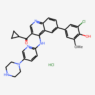 COc1cc(-c2ccc3ncc(C(=O)C4CC4)c(Nc4ccc(N5CCNCC5)cn4)c3c2)cc(Cl)c1O.Cl